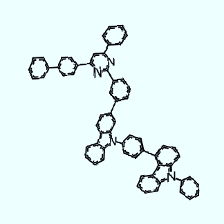 c1ccc(-c2ccc(-c3cc(-c4ccccc4)nc(-c4cccc(-c5ccc6c7ccccc7n(-c7ccc(-c8cccc9c8c8ccccc8n9-c8ccccc8)cc7)c6c5)c4)n3)cc2)cc1